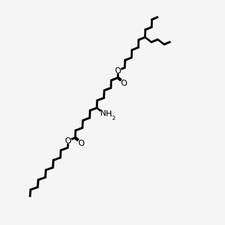 CCCCCCCCCCCOC(=O)CCCCCC(N)CCCCCC(=O)OCCCCCCC(CCCC)CCCC